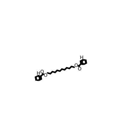 O=C(OCCCCCCCCCCCCOC(=O)C1CC2C=C[C@H]1C2)C1C[C@H]2C=CC1C2